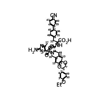 CCOc1ccc([C@H]2COc3cc4c(cc3O2)CN(S(=O)(=O)c2sc(N)nc2C)[C@H](C(=O)NC(Cc2ccc(-c3ccc(C#N)cc3)cc2)C(=O)O)C4)cc1